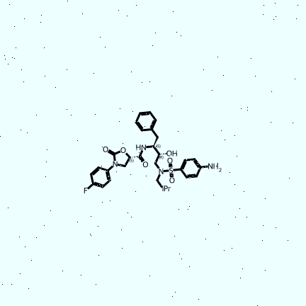 CC(C)CN(C[C@@H](O)[C@H](Cc1ccccc1)NC(=O)[C@@H]1CN(c2ccc(F)cc2)C(=O)O1)S(=O)(=O)c1ccc(N)cc1